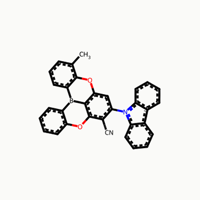 Cc1cccc2c1Oc1cc(-n3c4ccccc4c4ccccc43)c(C#N)c3c1B2c1ccccc1O3